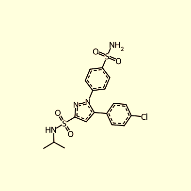 CC(C)NS(=O)(=O)c1cc(-c2ccc(Cl)cc2)n(-c2ccc(S(N)(=O)=O)cc2)n1